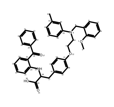 COc1ccccc1CN(CCOc1ccc(CC(Nc2ccccc2C(=O)c2ccccc2)C(=O)O)cc1)c1cccc(C)c1